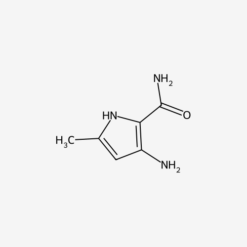 Cc1cc(N)c(C(N)=O)[nH]1